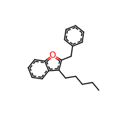 CCCCCc1c(Cc2ccccc2)oc2ccccc12